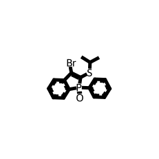 CC(C)SC1=C(Br)c2ccccc2P1(=O)c1ccccc1